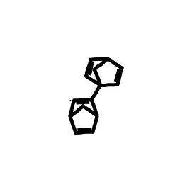 [C]1=C(C23C=CC(C=C2)C3)C2C=CC1C2